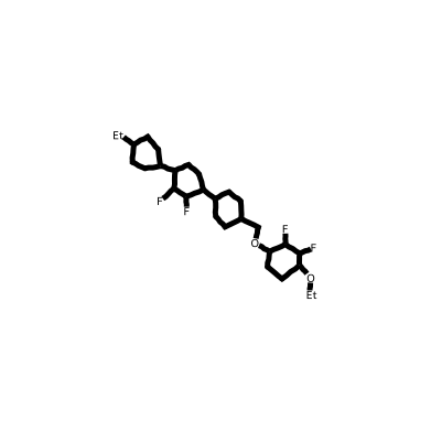 CCOC1CCC(OCC2CCC(C3CCC(C4CCC(CC)CC4)C(F)C3F)CC2)C(F)C1F